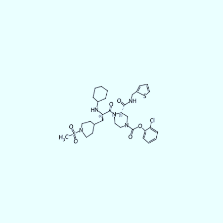 CS(=O)(=O)N1CCC(C[C@@H](NC2CCCCC2)C(=O)N2CCN(C(=O)Oc3ccccc3Cl)C[C@H]2C(=O)NCc2cccs2)CC1